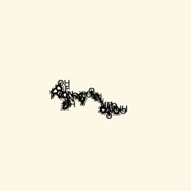 C#Cc1c(F)ccc2cc(O)cc(-c3ncc4c(N5CC6CCC(C5)N6)nc(OC[C@@]56CC[C@@H](COC(=O)N7CCN(CCNc8cccc9c8C(=O)N(C8CCC(=O)NC8=O)C9=O)CC7)N5CC(=C)C6)nc4c3F)c12